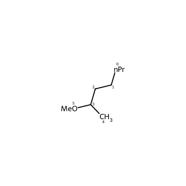 [CH2]CCCCC(C)OC